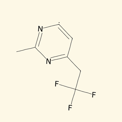 Cc1n[c]cc(CC(F)(F)F)n1